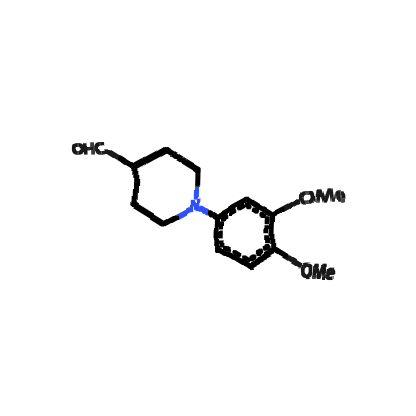 COc1ccc(N2CCC(C=O)CC2)cc1OC